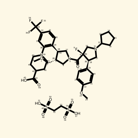 COC[C@H]1CN(C(=O)[C@]2(F)CN(C3CCCC3)C[C@H]2c2ccc(OC)cc2)C[C@@H]1c1ccc(C(F)(F)F)cc1N1CCC(C(=O)O)CC1.O=S(=O)(O)CCS(=O)(=O)O